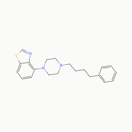 c1ccc(CCCCN2CCN(c3cccc4scnc34)CC2)cc1